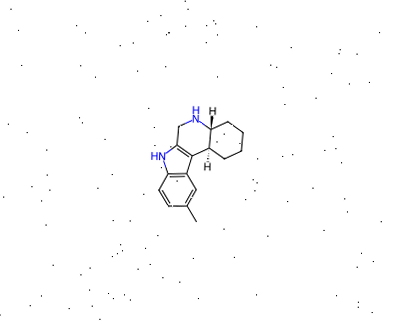 Cc1ccc2[nH]c3c(c2c1)[C@@H]1CCCC[C@H]1NC3